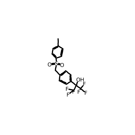 Cc1ccc(S(=O)(=O)Cc2ccc(C(O)(C(F)(F)F)C(F)(F)F)cc2)cc1